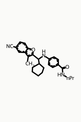 CCCNC(=O)c1ccc(NC(c2oc3ccc(C#N)cc3c2C)C2CCCCC2)cc1